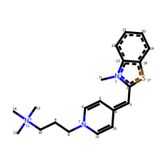 C[n+]1c(C=C2C=CN(CCC[N+](C)(C)C)C=C2)sc2ccccc21